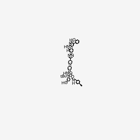 C#Cc1ccc(CNC(=O)[C@@H]2C[C@@H](O)CN2C(=O)[C@@H](NC(=O)N2CCC(N3CCC(c4cnc(N5CCN6c7cc(-c8ccccc8O)nnc7NC[C@H]6C5)nc4)CC3)CC2)C(C)(C)C)cc1